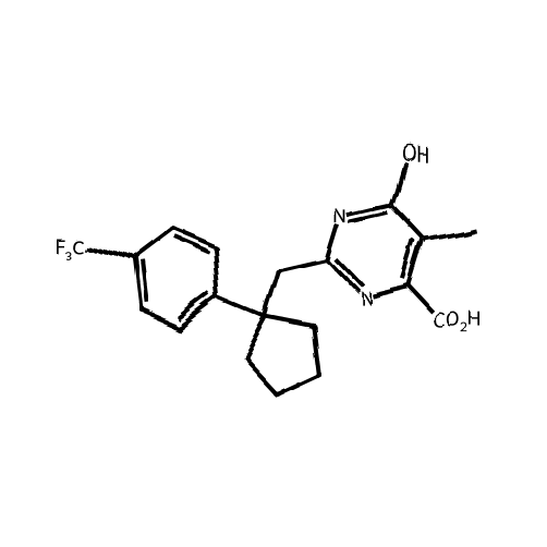 Cc1c(O)nc(CC2(c3ccc(C(F)(F)F)cc3)CCCC2)nc1C(=O)O